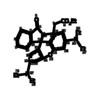 CCOC(=O)CCN1C(=O)c2ccccc2C12c1ccc(N(CC)CC)cc1Oc1cc(N(CC)CC)ccc12